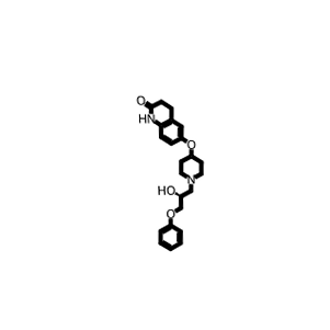 O=C1CCc2cc(OC3CCN(C[C@H](O)COc4ccccc4)CC3)ccc2N1